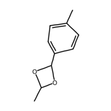 Cc1ccc(C2OC(C)O2)cc1